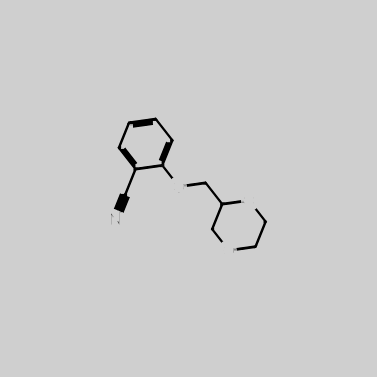 N#Cc1ccccc1OCC1COCCO1